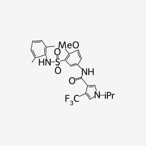 COc1ccc(NC(=O)c2cn(C(C)C)cc2C(F)(F)F)cc1S(=O)(=O)Nc1c(C)cccc1C